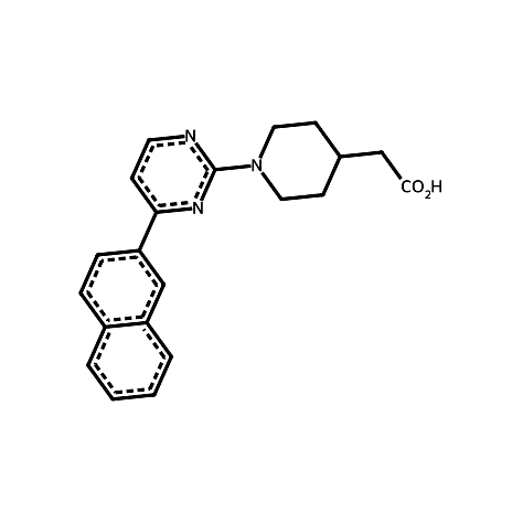 O=C(O)CC1CCN(c2nccc(-c3ccc4ccccc4c3)n2)CC1